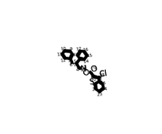 O=C(ON=C[C@H](Cc1ccccc1)c1ccccc1)c1sc2ccccc2c1Cl